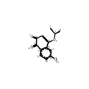 CC(C)OC1=CC(=O)C(=O)c2ccc(Cl)cc21